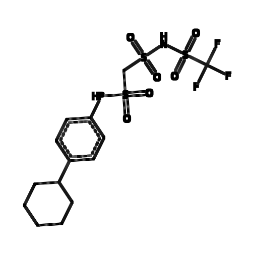 O=S(=O)(CS(=O)(=O)Pc1ccc(C2CCCCC2)cc1)NS(=O)(=O)C(F)(F)F